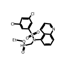 CCO[PH](=O)CN(c1cccc2ncccc12)S(=O)(=O)c1cc(Cl)cc(Cl)c1